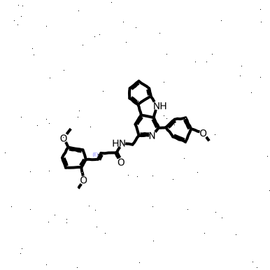 COc1ccc(-c2nc(CNC(=O)/C=C/c3cc(OC)ccc3OC)cc3c2[nH]c2ccccc23)cc1